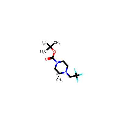 C[C@@H]1CN(C(=O)OC(C)(C)C)CCN1CC(F)(F)F